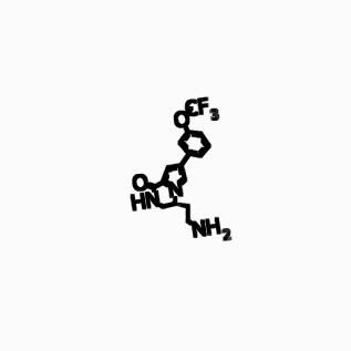 NCC[C@H]1CNC(=O)c2cc(-c3cccc(OC(F)(F)F)c3)cn21